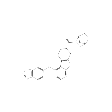 O=C([C@H]1CCc2c(sc3ncnc(Nc4ccc5nnsc5c4)c23)C1)N1C[C@H]2C[C@@H]1CO2